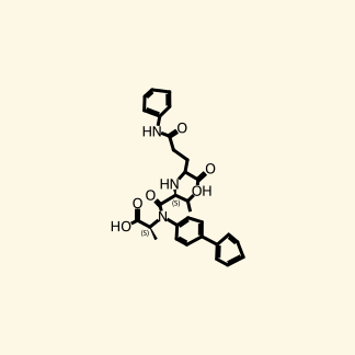 CC(C)[C@H](NC(CCC(=O)Nc1ccccc1)C(=O)O)C(=O)N(c1ccc(-c2ccccc2)cc1)[C@@H](C)C(=O)O